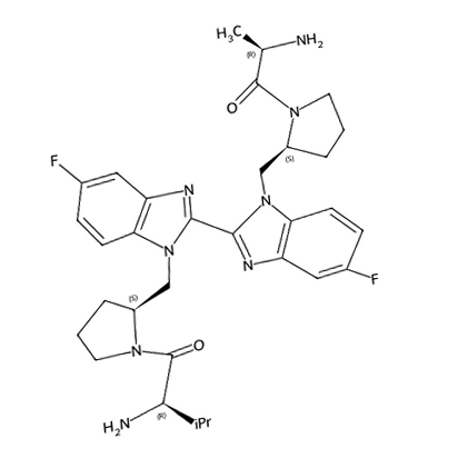 CC(C)[C@@H](N)C(=O)N1CCC[C@H]1Cn1c(-c2nc3cc(F)ccc3n2C[C@@H]2CCCN2C(=O)[C@@H](C)N)nc2cc(F)ccc21